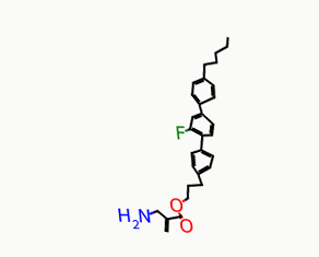 C=C(CN)C(=O)OCCCc1ccc(-c2ccc(-c3ccc(CCCCC)cc3)cc2F)cc1